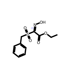 CCOC(=O)/C(=N\O)S(=O)(=O)Cc1ccccc1